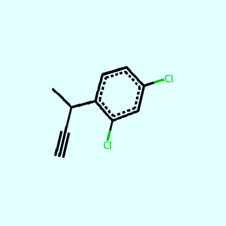 C#CC(C)c1ccc(Cl)cc1Cl